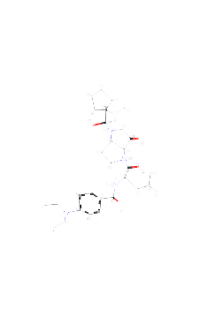 CCN(CC)c1ccc(C(=O)NC(CC(C)C)C(=O)N2CCC3C2C(=O)CN3C(=O)C2(OC)CCCC2)cc1